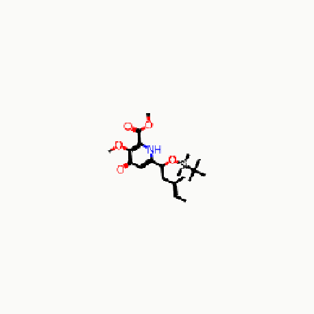 C/C=C(\C)CC(O[Si](C)(C)C(C)(C)C)c1cc(=O)c(OC)c(C(=O)OC)[nH]1